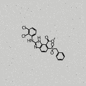 COC(=O)c1c(S(=O)(=O)Cc2ccccc2)ccc2nc(Nc3cccc(Cl)c3Cl)[nH]c12